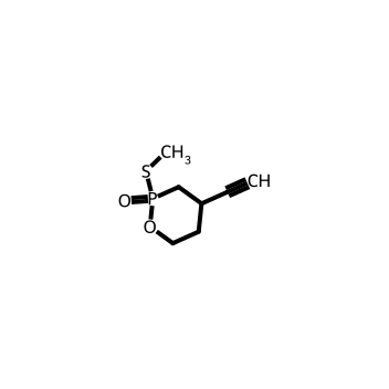 C#CC1CCOP(=O)(SC)C1